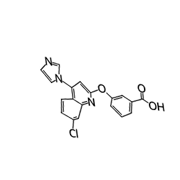 O=C(O)c1cccc(Oc2cc(-n3ccnc3)c3ccc(Cl)cc3n2)c1